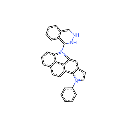 C1=c2ccccc2=C(n2c3cccc4ccc5c(c43)c2cc2ccn(-c3ccccc3)c25)NN1